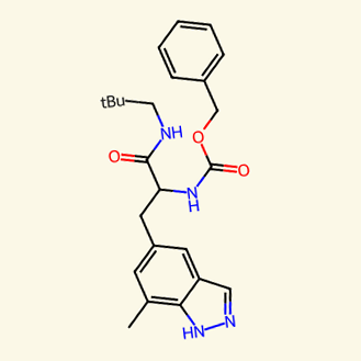 Cc1cc(CC(NC(=O)OCc2ccccc2)C(=O)NCC(C)(C)C)cc2cn[nH]c12